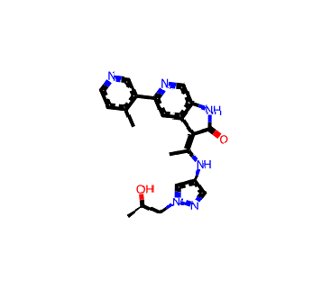 C/C(Nc1cnn(C[C@@H](C)O)c1)=C1/C(=O)Nc2cnc(-c3cnccc3C)cc21